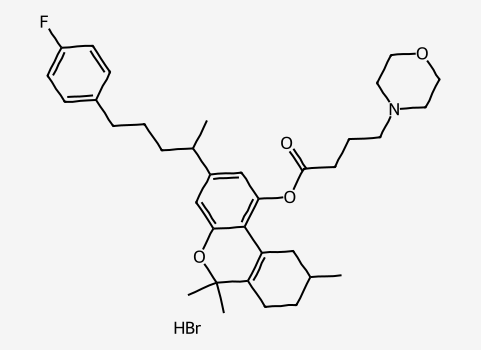 Br.CC1CCC2=C(C1)c1c(OC(=O)CCCN3CCOCC3)cc(C(C)CCCc3ccc(F)cc3)cc1OC2(C)C